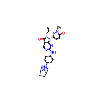 C=CCn1c(=O)c2cnc(Nc3ccc(N4CC5CCC(C4)N5)cc3)nc2n1-c1ccc(=O)n(C(C)C)n1